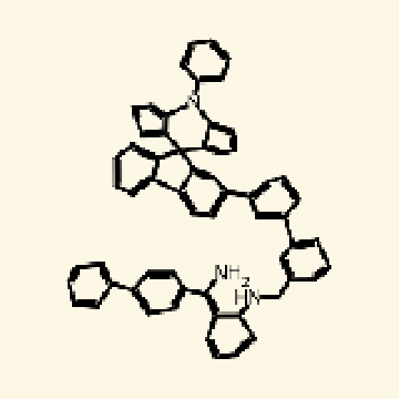 N/C(=C1/C=CC=CC1NCc1cccc(-c2cccc(-c3ccc4c(c3)C3(c5ccccc5-4)c4ccccc4N(c4ccccc4)c4ccccc43)c2)c1)c1ccc(-c2ccccc2)cc1